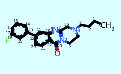 CCCCN1CCn2c(nc3cc(-c4cccc(F)c4)ccc3c2=O)C1